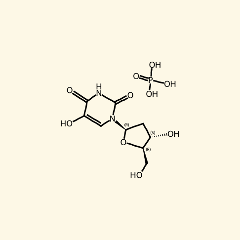 O=P(O)(O)O.O=c1[nH]c(=O)n([C@H]2C[C@H](O)[C@@H](CO)O2)cc1O